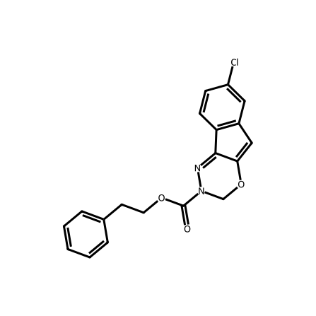 O=C(OCCc1ccccc1)N1COC2=Cc3cc(Cl)ccc3C2=N1